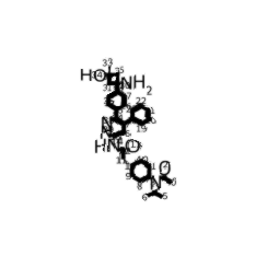 CC(=O)N(C(C)C)[C@H]1CC[C@H](CC(=O)Nc2cc(-c3ccccc3)c(-c3ccc([C@]4(N)C[C@](C)(O)C4)cc3)nn2)CC1